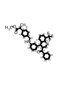 COC(=O)C(C)c1ccc(CNc2cccc(-c3c(C(=O)c4ccccc4)cnc4c(C(F)(F)F)cccc34)c2)cc1